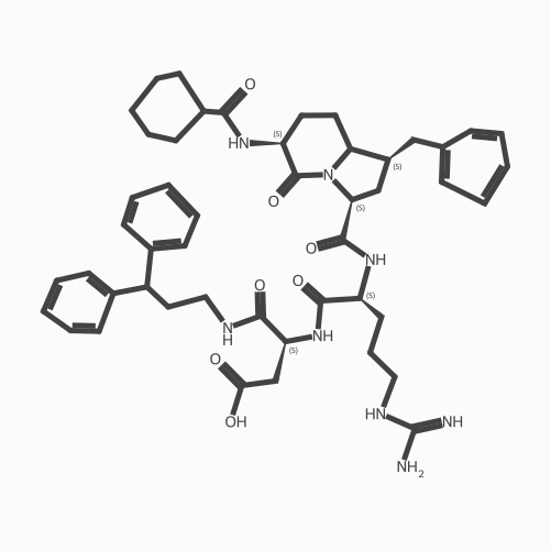 N=C(N)NCCC[C@H](NC(=O)[C@@H]1C[C@H](Cc2ccccc2)C2CC[C@H](NC(=O)C3CCCCC3)C(=O)N21)C(=O)N[C@@H](CC(=O)O)C(=O)NCCC(c1ccccc1)c1ccccc1